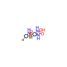 O=C1Nc2cc(Br)c(S(=O)(=O)Nc3ccc(C4CC4)cc3)cc2NC1O